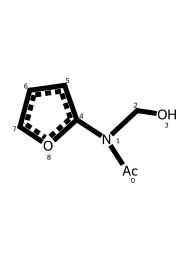 CC(=O)N(CO)c1ccco1